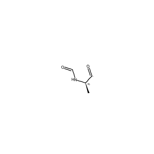 C[C@H]([C]=O)NC=O